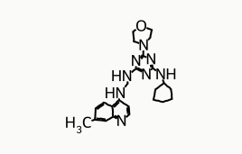 Cc1ccc2c(NCNc3nc(NC4CCCCC4)nc(N4CCOCC4)n3)ccnc2c1